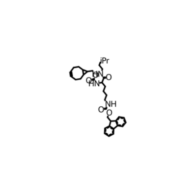 CC(C)CCNC(=O)C(CCCCNC(=O)OCC1c2ccccc2-c2ccccc21)NC(=O)OCC1C2CCC#CCCC21